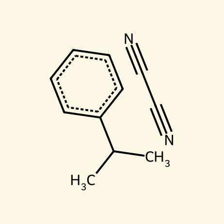 CC(C)c1ccccc1.N#CC#N